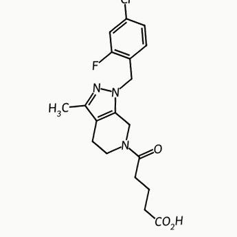 Cc1nn(Cc2ccc(Cl)cc2F)c2c1CCN(C(=O)CCCC(=O)O)C2